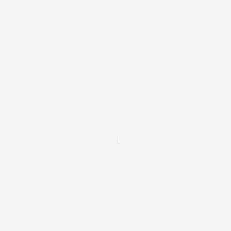 C=C/C=C/I1CC1